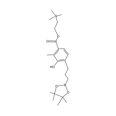 Cc1c(C(=O)OCC[Si](C)(C)C)ccc(CCCB2OC(C)(C)C(C)(C)O2)c1O